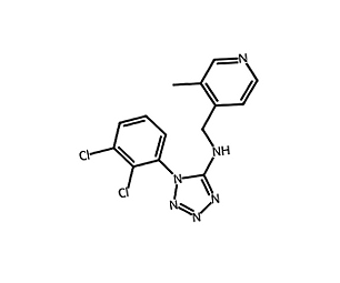 Cc1cnccc1CNc1nnnn1-c1cccc(Cl)c1Cl